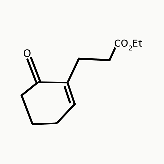 CCOC(=O)CCC1=CCCCC1=O